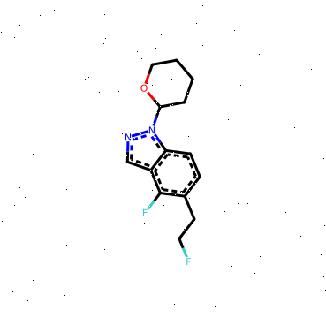 FCCc1ccc2c(cnn2C2CCCCO2)c1F